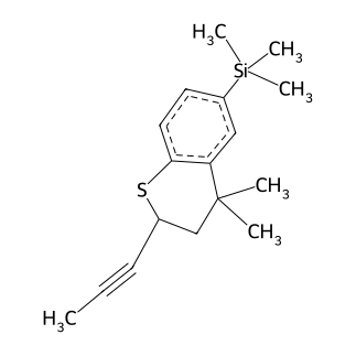 CC#CC1CC(C)(C)c2cc([Si](C)(C)C)ccc2S1